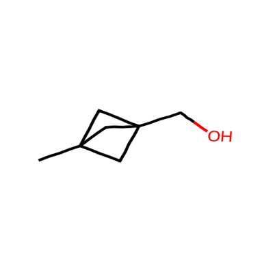 CC12CC(CO)(C1)C2